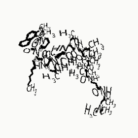 CCCCCCCC[C@@H](C(=O)N[C@@H](CC(C)C)C(=O)NC(C)(C)C(=O)N[C@@H](CC(C)C)C(=O)N[C@@H](CC(C)C)C(=O)NC(C)(C)C(=O)NC(C)(C)C(=O)NCCC(=O)N[C@@H](C)CN(C)C)N(C=O)[C@@H]1CCCN1S(=O)(=O)c1c(N(C)C)ccc2ccccc12